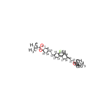 C=C(C)C(=O)Oc1ccc(CCc2ccc(-c3ccc(CCCO[Si](C)(C)C(C)(C)C)cc3CC)c(F)c2)cc1